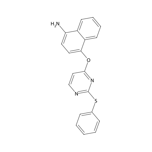 Nc1ccc(Oc2ccnc(Sc3ccccc3)n2)c2ccccc12